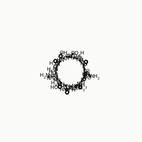 CC(C)[C@@H]1NC(=O)[C@H](Cc2ccccc2)NC(=O)CSC[C@@H](C(=O)NCC(N)=O)NC(=O)[C@@H]2CCCN2C(=O)[C@H](Cc2ccccc2)N(C)C(=O)[C@H]([C@@H](C)O)NC(=O)[C@H](Cc2c[nH]c3ccccc23)NC(=O)[C@H](Cc2ccc(O)cc2)NC(=O)[C@H](C)NC(=O)[C@H](CCCNC(=N)N)NC(=O)CN(C)C(=O)[C@H](Cc2ccccc2)N(C)C(=O)[C@H](Cc2ccc(O)cc2)NC(=O)CN(C)C(=O)[C@H](CCC(=O)O)NC1=O